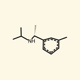 Cc1cccc([C@@H](C)NC(C)C)c1